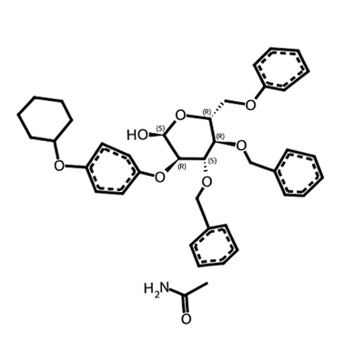 CC(N)=O.O[C@H]1O[C@H](COc2ccccc2)[C@@H](OCc2ccccc2)[C@H](OCc2ccccc2)[C@H]1Oc1ccc(OC2CCCCC2)cc1